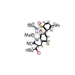 CCCCC(=O)C(Cc1ccc(-c2cc(CCC)ccc2S(=O)(=O)NC(C)(C)C)cc1F)C(C#N)=NOC